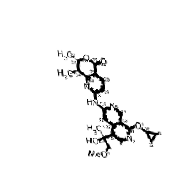 COC[C@@](C)(O)c1cnc(OC2CC2)c2cnc(Nc3ccc4c(n3)[C@@H](C)[C@H](C)OC4=O)cc12